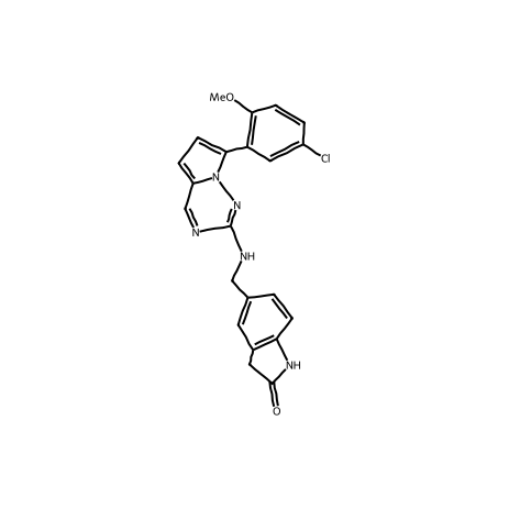 COc1ccc(Cl)cc1-c1ccc2cnc(NCc3ccc4c(c3)CC(=O)N4)nn12